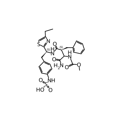 CCc1csc([C@H](Cc2ccc(NS(=O)(=O)O)cc2)NC(=O)[C@@H](Cc2ccccc2)C(NC(=O)OC)C(N)=O)n1